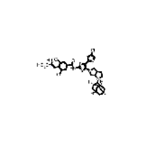 C/C(=C\c1c(Cl)cc(C(=O)Nc2nc(-c3cc(Cl)cs3)c(N3CC4CCN(C5[C@H]6C[C@@H]7C[C@@H](C[C@H]5C7)C6)C4C3)s2)cc1Cl)C(=O)O